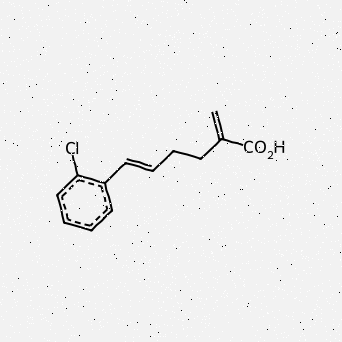 C=C(CCC=Cc1ccccc1Cl)C(=O)O